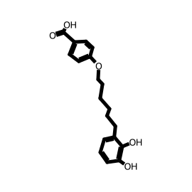 O=C(O)c1ccc(OCCCCCCc2cccc(O)c2O)cc1